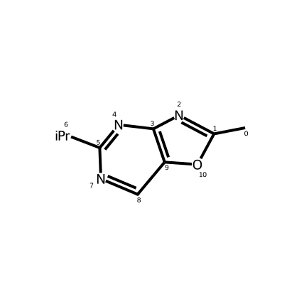 Cc1nc2nc(C(C)C)ncc2o1